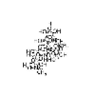 COCC1O[C@H](C[C@@H]2C(O)[C@H](O[C@@H]3C(CO)O[C@@H](O[C@@H]4C(CO)O[C@@H](C)C(NC(C)=O)[C@H]4O)C(NC(C)=O)C3O)OC(CO[C@H]3OC(CO)[C@@H](O)[C@H](OC)C3O)[C@H]2O)C(O)[C@@H](O)[C@@H]1O